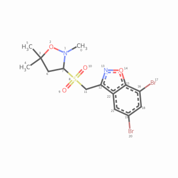 CN1OC(C)(C)CC1S(=O)(=O)Cc1noc2c(Br)cc(Br)cc12